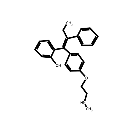 CCC(=C(c1ccc(OCCNC)cc1)c1ccccc1O)c1ccccc1